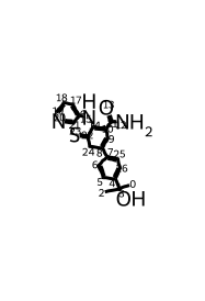 CC(C)(O)c1ccc(C2=CC(C(N)=O)=C(Nc3cccnc3)C(=S)C2)cc1